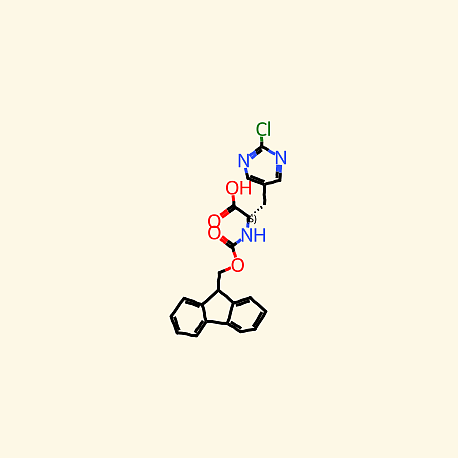 O=C(N[C@@H](Cc1cnc(Cl)nc1)C(=O)O)OCC1c2ccccc2-c2ccccc21